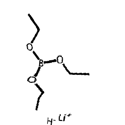 CCOB(OCC)OCC.[H-].[Li+]